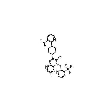 Cc1cnc2cc([C@H]3CC[C@H](c4ncccc4C(F)F)CC3)c(=O)n(Cc3ncccc3C(F)(F)F)c2n1